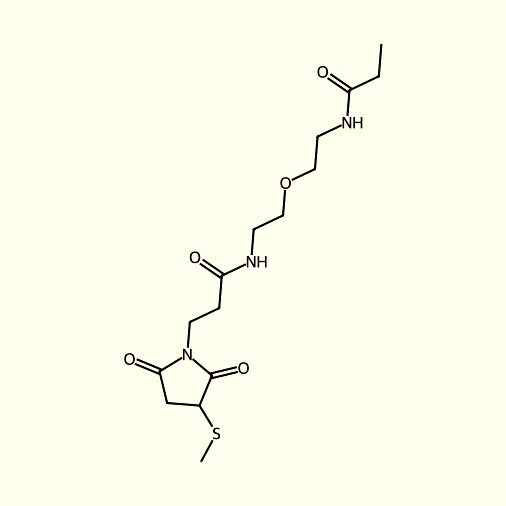 CCC(=O)NCCOCCNC(=O)CCN1C(=O)CC(SC)C1=O